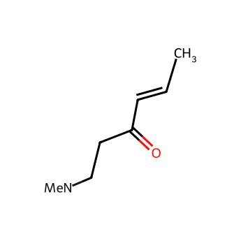 C/C=C/C(=O)CCNC